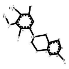 CCSc1c(N)c(C)cc(N2CCc3cc(F)ccc3C2)c1F